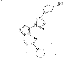 O=NC1CCN(c2cnn(-c3cnn4ccc(N5CCCC5)nc34)c2)C1